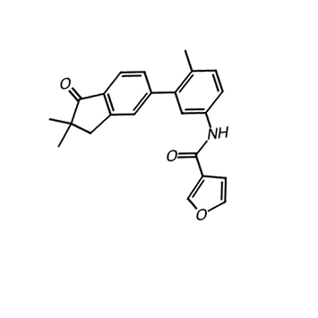 Cc1ccc(NC(=O)c2ccoc2)cc1-c1ccc2c(c1)CC(C)(C)C2=O